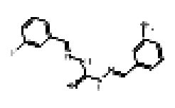 N=C(N/N=C/c1cccc(N)c1)N/N=C/c1cccc(F)c1